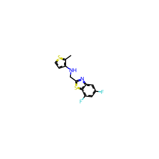 Cc1sccc1NCc1nc2cc(F)cc(F)c2s1